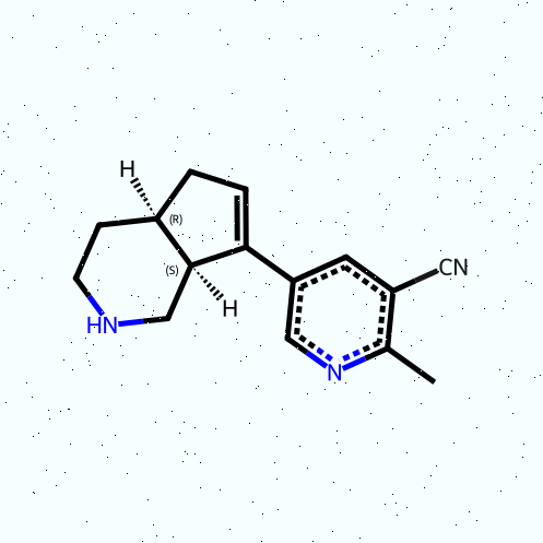 Cc1ncc(C2=CC[C@@H]3CCNC[C@H]23)cc1C#N